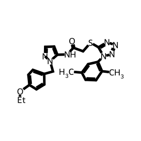 CCOc1ccc(Cn2nccc2NC(=O)CSc2nnnn2-c2cc(C)ccc2C)cc1